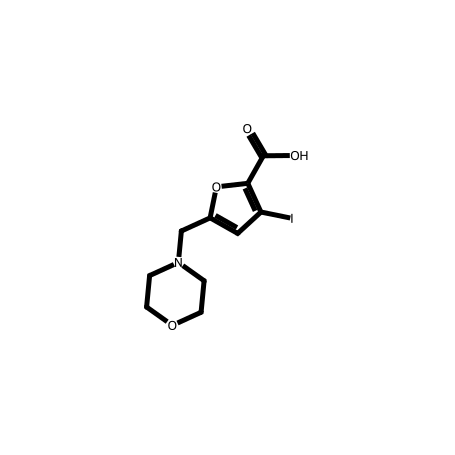 O=C(O)c1oc(CN2CCOCC2)cc1I